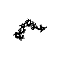 Cc1n[nH]c(C)c1CCC(=O)N[C@H]1CC[C@H](Oc2ccc3c(c2)CCC(c2ccccc2F)O3)CC1